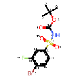 CC(C)(C)OC(=O)NS(=O)(=O)c1ccc(Br)c(F)c1